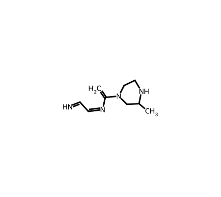 C=C(/N=C\C=N)N1CCNC(C)C1